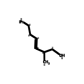 CC(C)CCC=CC(C)CO